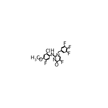 COc1cc(Cl)c(Nc2nc(=O)c(F)cn2Cc2cc(F)c(F)c(F)c2)cc1F